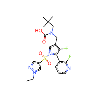 CCn1cc(S(=O)(=O)n2cc(CN(CC(C)(C)C)C(=O)O)c(F)c2-c2cccnc2F)cn1